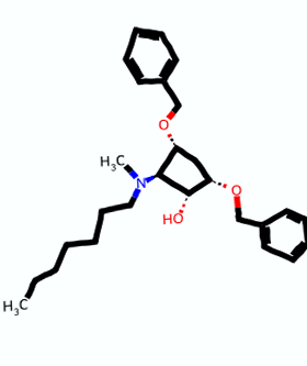 CCCCCCCN(C)[C@@H]1[C@@H](O)[C@@H](OCc2ccccc2)C[C@H]1OCc1ccccc1